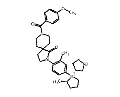 Cc1cc([N+]2([C@@H]3CCNC3)CCC[C@H]2C)ccc1N1CCC2(CCN(C(=O)c3ccc(OC(F)(F)F)cc3)CC2)C1=O